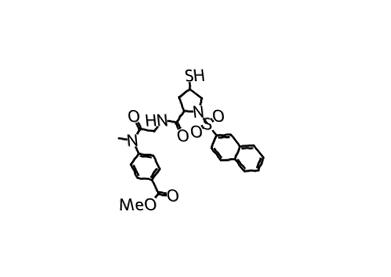 COC(=O)c1ccc(N(C)C(=O)CNC(=O)C2CC(S)CN2S(=O)(=O)c2ccc3ccccc3c2)cc1